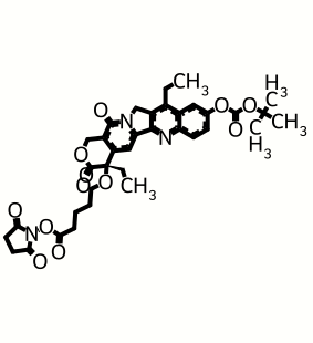 CCc1c2c(nc3ccc(OC(=O)OC(C)(C)C)cc13)-c1cc3c(c(=O)n1C2)COC(=O)[C@@]3(CC)OC(=O)CCCC(=O)ON1C(=O)CCC1=O